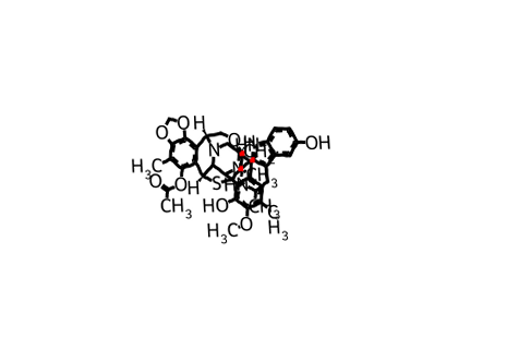 C=C1OC[C@H]2c3c4c(c(C)c(OC(C)=O)c3[C@@H](SC[C@]13NC(C)Cc1c3[nH]c3ccc(O)cc13)C1C3c5c(cc(C)c(OC)c5O)C[C@H](CN12)N3C)OCO4